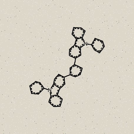 c1ccc(-n2c3ccccc3c3cc(-c4cccc(-c5ccc6c7ccccc7n(-c7ccccc7)c6c5)c4)ccc32)cc1